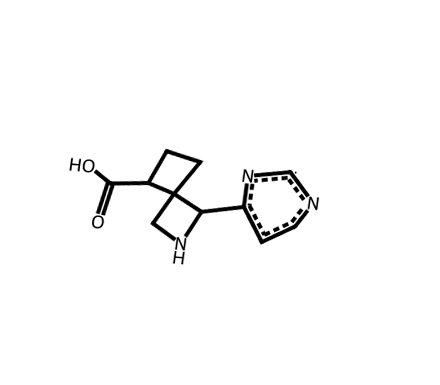 O=C(O)C1CCC12CNC2c1ccn[c]n1